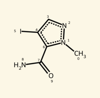 Cn1ncc(I)c1C(N)=O